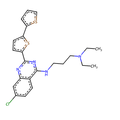 CCN(CC)CCCNc1nc(-c2ccc(-c3cccs3)s2)nc2cc(Cl)ccc12